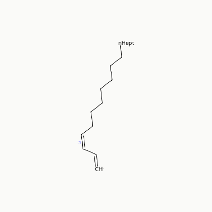 [CH]=C/C=C\CCCCCCCCCCCCCC